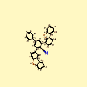 N#Cc1c(-c2ccc3sc4ccccc4c3c2)cc(-c2ccccc2)cc1-c1cccc2c1sc1ccccc12